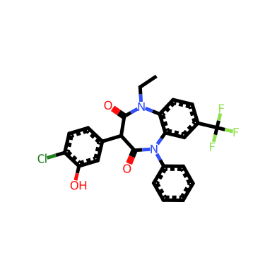 CCN1C(=O)C(c2ccc(Cl)c(O)c2)C(=O)N(c2ccccc2)c2cc(C(F)(F)F)ccc21